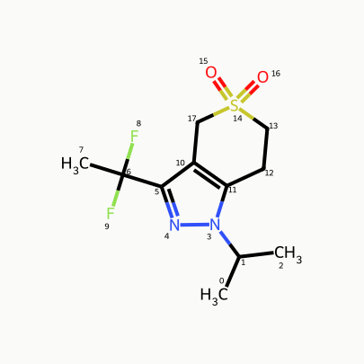 CC(C)n1nc(C(C)(F)F)c2c1CCS(=O)(=O)C2